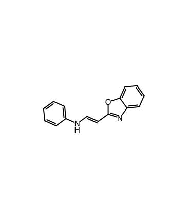 C(=C\c1nc2ccccc2o1)/Nc1ccccc1